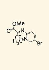 COC(=O)/C(=N/C1=CC=C(Br)CN1C)C(F)(F)F